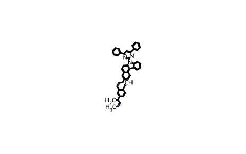 C#Cc1ccc(C(=C)/C=C\C)cc1/C=C\Cc1ccc2c(ccc3c2c2ccccc2n3-c2nc(-c3ccccc3)cc(-c3ccccc3)n2)c1